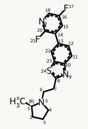 C[C@@H]1CCCN1CCc1nc2ccc(-c3cc(F)cnc3F)cc2s1